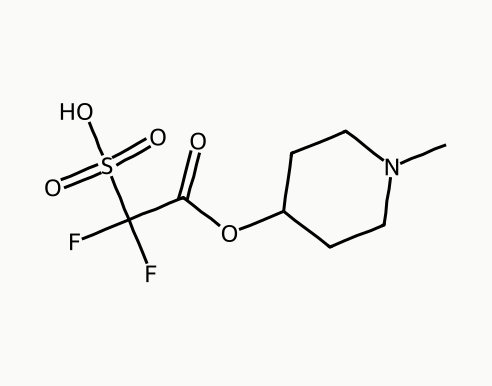 CN1CCC(OC(=O)C(F)(F)S(=O)(=O)O)CC1